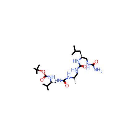 CC(C)C[C@@H](CNC(N)=O)NC(=O)NC[C@H](C)NC(=O)NC[C@@H](NC(=O)OC(C)(C)C)C(C)C